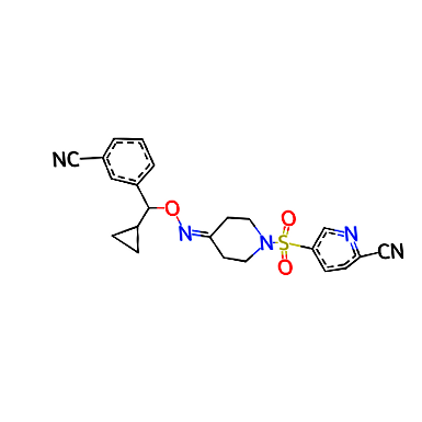 N#Cc1cccc(C(ON=C2CCN(S(=O)(=O)c3ccc(C#N)nc3)CC2)C2CC2)c1